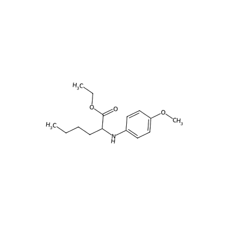 CCCCC(Nc1ccc(OC)cc1)C(=O)OCC